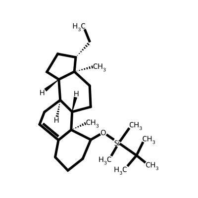 CC[C@H]1CC[C@H]2[C@@H]3CC=C4CCCC(O[Si](C)(C)C(C)(C)C)[C@]4(C)[C@H]3CC[C@]12C